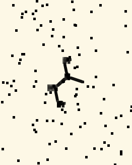 CC(C)NN(C)C(C)C